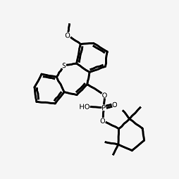 COc1cccc2c1Sc1ccccc1C=C2OP(=O)(O)OC1C(C)(C)CCCC1(C)C